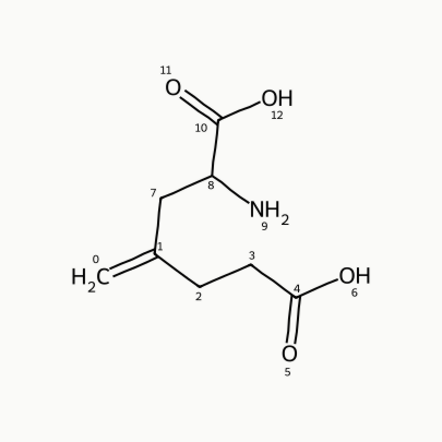 C=C(CCC(=O)O)CC(N)C(=O)O